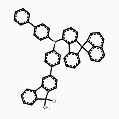 CC1(C)c2ccccc2-c2cc(-c3ccc(N(c4ccc(-c5ccccc5)cc4)c4cccc5c4-c4ccccc4C54c5cccc6cccc4c56)cc3)ccc21